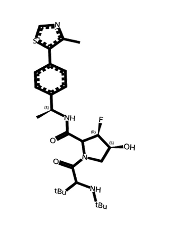 Cc1ncsc1-c1ccc([C@H](C)NC(=O)C2[C@@H](F)[C@@H](O)CN2C(=O)C(NC(C)(C)C)C(C)(C)C)cc1